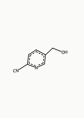 [C-]#[N+]c1ccc(CO)cn1